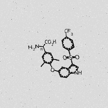 Cc1cc([C@@H](N)C(=O)O)cc(C)c1Oc1ccc2[nH]cc(S(=O)(=O)c3ccc(C(F)(F)F)cc3)c2c1